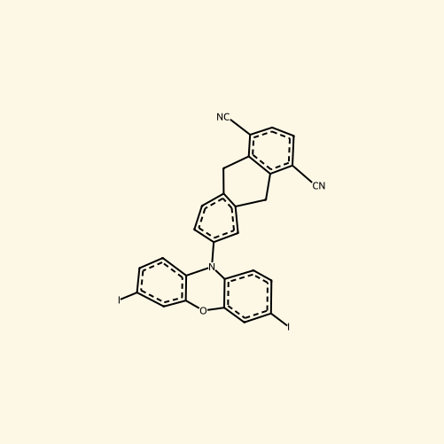 N#Cc1ccc(C#N)c2c1Cc1ccc(N3c4ccc(I)cc4Oc4cc(I)ccc43)cc1C2